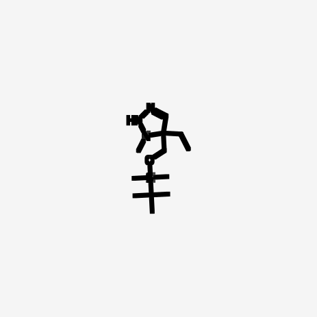 CCC1(CO[Si](C)(C)C(C)(C)C)C=NNN1C